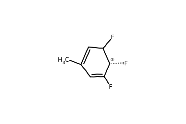 CC1=CC(F)[C@H](F)C(F)=C1